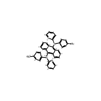 CC(C)(C)c1ccc(N(c2ccccn2)c2c3ccccc3c(N(c3ccc(C(C)(C)C)cc3)c3ccccn3)c3ccccc23)cc1